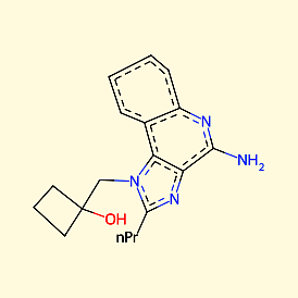 CCCc1nc2c(N)nc3ccccc3c2n1CC1(O)CCC1